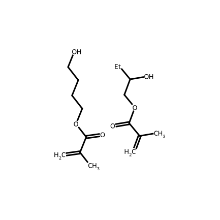 C=C(C)C(=O)OCC(O)CC.C=C(C)C(=O)OCCCCO